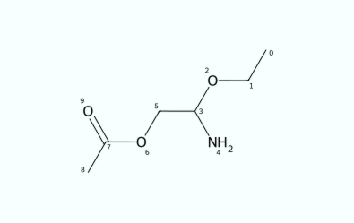 CCOC(N)COC(C)=O